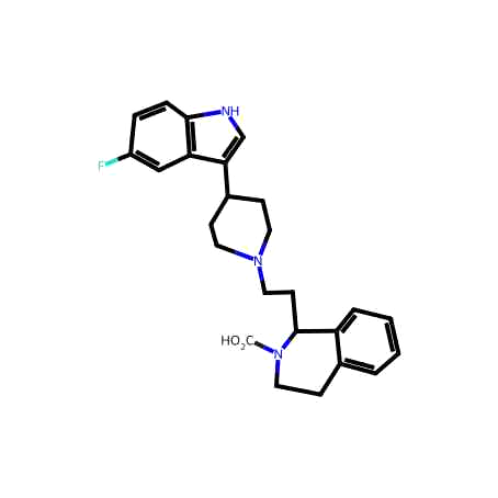 O=C(O)N1CCc2ccccc2C1CCN1CCC(c2c[nH]c3ccc(F)cc23)CC1